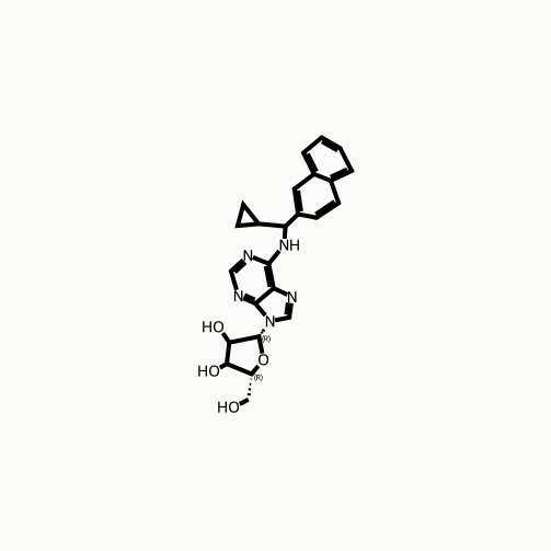 OC[C@H]1O[C@@H](n2cnc3c(NC(c4ccc5ccccc5c4)C4CC4)ncnc32)C(O)C1O